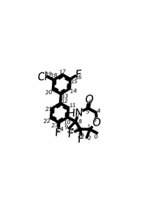 CC1(C)OCC(=O)NC(C)(c2cc(-c3cc(F)cc(Cl)c3)ccc2F)C1(F)F